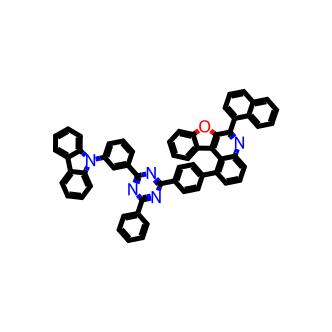 c1ccc(-c2nc(-c3ccc(-c4cccc5nc(-c6cccc7ccccc67)c6oc7ccccc7c6c45)cc3)nc(-c3cccc(-n4c5ccccc5c5ccccc54)c3)n2)cc1